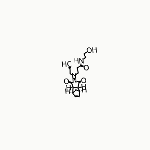 C#CCN(CCC(=O)NCCO)N1C(=O)[C@@H]2[C@H](C1=O)[C@H]1C=C[C@@H]2C1